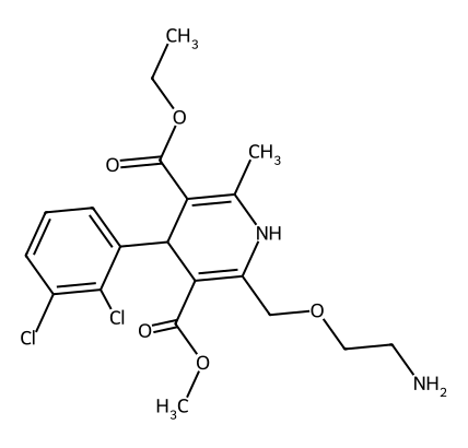 CCOC(=O)C1=C(C)NC(COCCN)=C(C(=O)OC)C1c1cccc(Cl)c1Cl